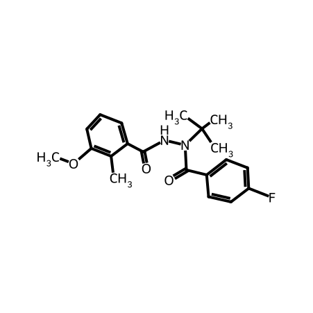 COc1cccc(C(=O)NN(C(=O)c2ccc(F)cc2)C(C)(C)C)c1C